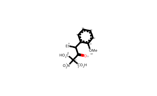 CCC(C(=O)C(C(=O)O)(C(=O)O)[N+](=O)[O-])c1ccccc1OC